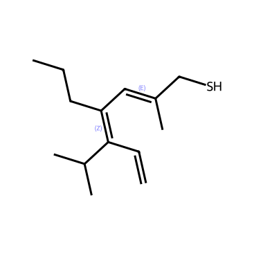 C=C/C(=C(\C=C(/C)CS)CCC)C(C)C